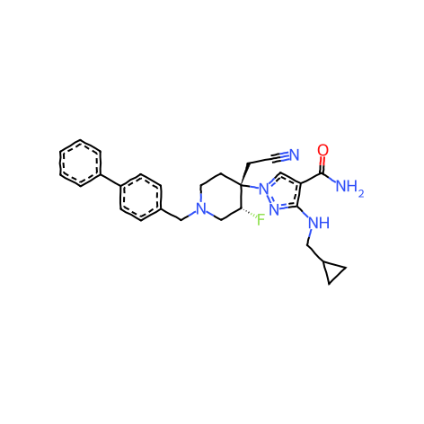 N#CC[C@]1(n2cc(C(N)=O)c(NCC3CC3)n2)CCN(Cc2ccc(-c3ccccc3)cc2)C[C@H]1F